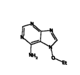 CCOn1cnc2ncnc(N)c21